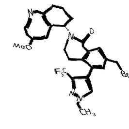 COc1cnc2c(c1)[C@@H](N1CCc3c(cc(CBr)cc3-c3cn(C)nc3C(F)(F)F)C1=O)CCC2